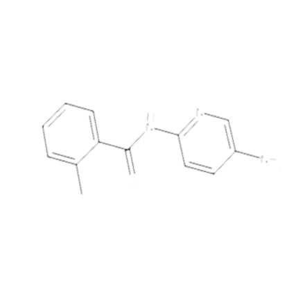 Cc1ccccc1C(=O)Nc1ccc(N)cn1